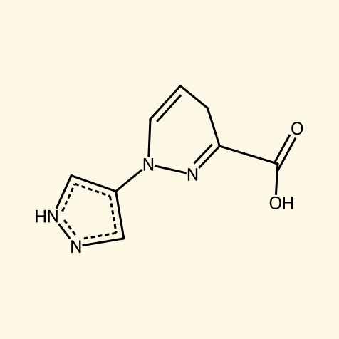 O=C(O)C1=NN(c2cn[nH]c2)C=CC1